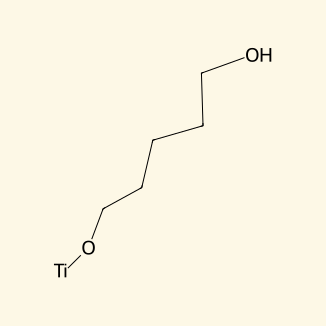 OCCCCC[O][Ti]